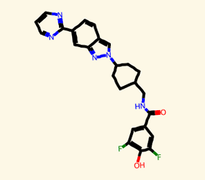 O=C(NCC1CCC(n2cc3ccc(-c4ncccn4)cc3n2)CC1)c1cc(F)c(O)c(F)c1